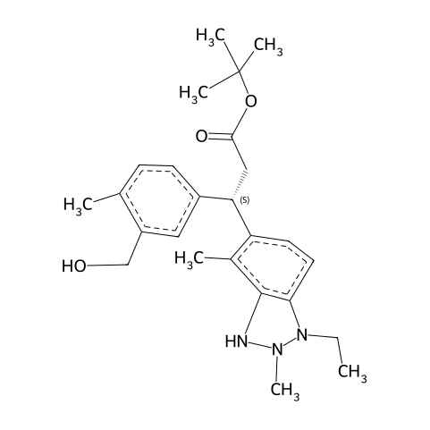 CCN1c2ccc([C@@H](CC(=O)OC(C)(C)C)c3ccc(C)c(CO)c3)c(C)c2NN1C